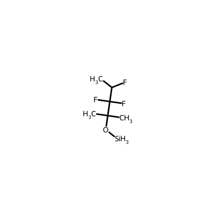 CC(F)C(F)(F)C(C)(C)O[SiH3]